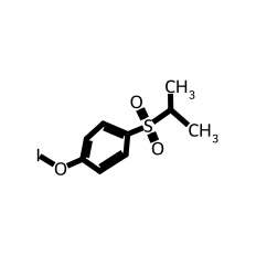 CC(C)S(=O)(=O)c1ccc(OI)cc1